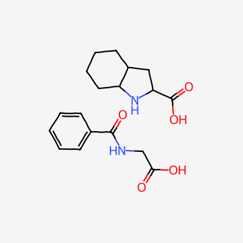 O=C(O)C1CC2CCCCC2N1.O=C(O)CNC(=O)c1ccccc1